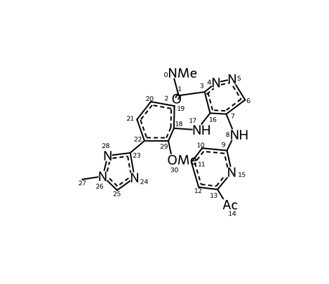 CNC(=O)c1nncc(Nc2cccc(C(C)=O)n2)c1Nc1cccc(-c2ncn(C)n2)c1OC